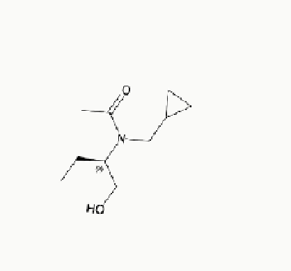 CC[C@H](CO)N(CC1CC1)C(C)=O